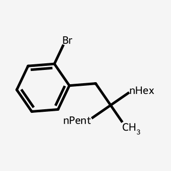 CCCCCCC(C)(CCCCC)Cc1ccccc1Br